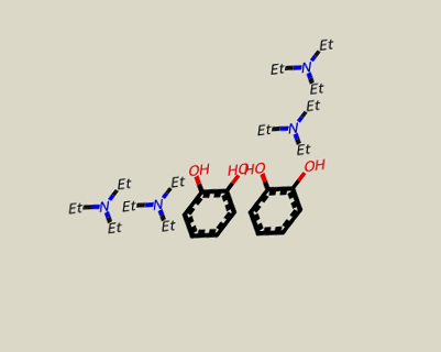 CCN(CC)CC.CCN(CC)CC.CCN(CC)CC.CCN(CC)CC.Oc1ccccc1O.Oc1ccccc1O